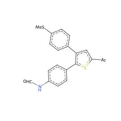 CSc1ccc(-c2cc(C(C)=O)sc2-c2ccc(NC=O)cc2)cc1